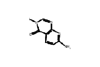 Nc1ccc2c(=O)n(I)cnc2n1